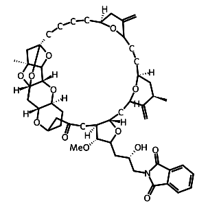 C=C1C[C@@H]2CCCC[C@@]34C[C@]5(C)O[C@H]6C(O3)[C@H]3OC(CC[C@@H]3O[C@H]6C5O4)CC(=O)C[C@H]3[C@H](C[C@H]4O[C@@H](CCC1O2)C[C@@H](C)C4=C)OC(C[C@H](O)CN1C(=O)c2ccccc2C1=O)[C@@H]3OC